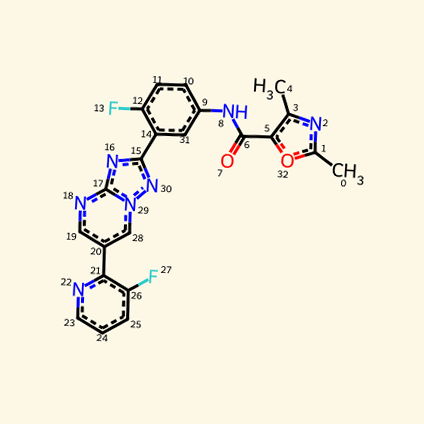 Cc1nc(C)c(C(=O)Nc2ccc(F)c(-c3nc4ncc(-c5ncccc5F)cn4n3)c2)o1